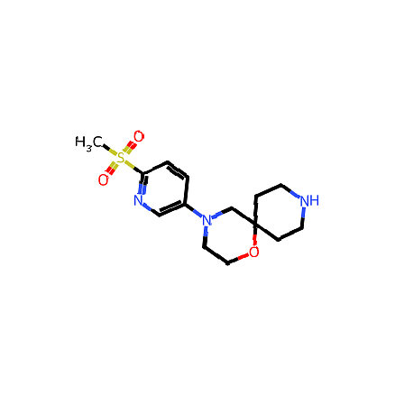 CS(=O)(=O)c1ccc(N2CCOC3(CCNCC3)C2)cn1